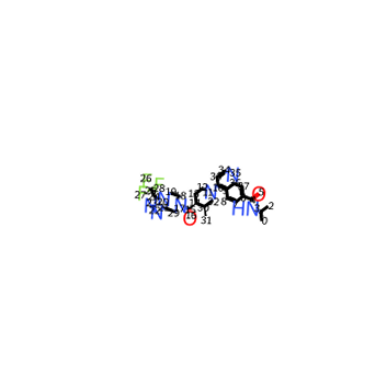 CC(C)NC(=O)c1ccc2c(N3CC[C@H](C(=O)N4CCn5c(nnc5C(F)(F)F)C4)[C@H](C)C3)ccnc2c1